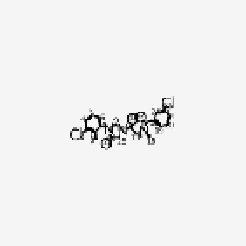 Cc1c(Cl)cccc1N1CN(C(=O)CN(C)C(=O)c2cccc(Cl)c2)CC1=O